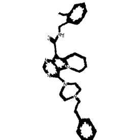 Cc1ccccc1CNC(=O)c1c2n(c3c(N4CCN(CCc5ccccc5)CC4)ncnc13)CCCC2